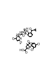 CC1(C(=O)O)CC(C(=O)O)=NN1c1ccc(Cl)cc1Cl.COc1cc(OC)nc(NC(=O)NS(=O)(=O)Nc2ccccc2C(=O)C2CC2)n1